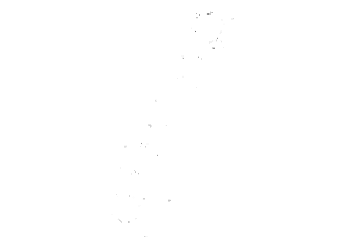 Clc1cccc(N2CCN(CCC3CCC(CNc4ncccn4)CC3)CC2)c1Cl